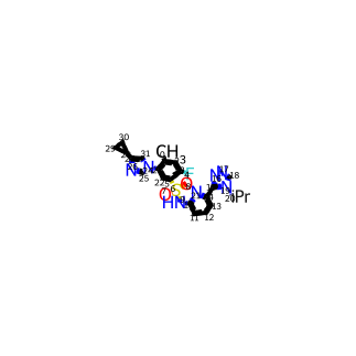 Cc1cc(F)c(S(=O)(=O)Nc2cccc(-c3nncn3C(C)C)n2)cc1-n1cnc(C2CC2)c1